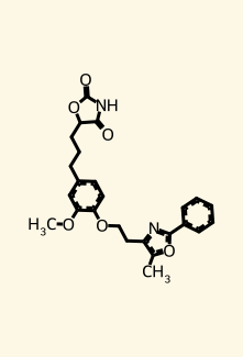 COc1cc(CCCC2OC(=O)NC2=O)ccc1OCCc1nc(-c2ccccc2)oc1C